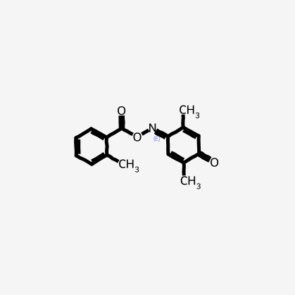 CC1=C/C(=N\OC(=O)c2ccccc2C)C(C)=CC1=O